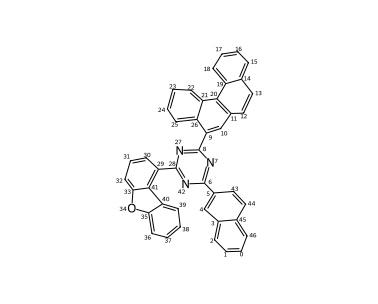 c1ccc2cc(-c3nc(-c4cc5ccc6ccccc6c5c5ccccc45)nc(-c4cccc5oc6ccccc6c45)n3)ccc2c1